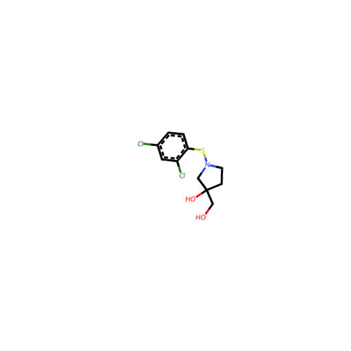 OCC1(O)CCN(Sc2ccc(Cl)cc2Cl)C1